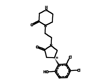 O=C1CNCCN1CCN1C[C@H](c2c(O)ccc(Cl)c2Cl)CC1=O